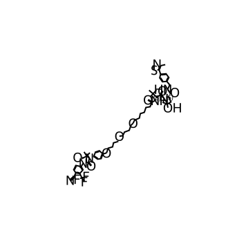 Cc1ncsc1-c1ccc(CNC(=O)[C@@H]2CC(O)CN2C(=O)[C@@H](NC(=O)CCCCCCOCCCCOCCCCOc2ccc(N3C(=O)N(c4ccc(C#N)c(C(F)(F)F)c4)C(=O)C3(C)C)cc2)C(C)(C)C)cc1